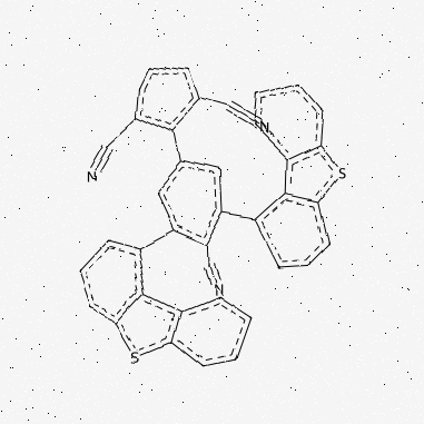 N#Cc1cccc(C#N)c1-c1cc(-c2cccc3sc4ccccc4c23)c(C#N)c(-c2cccc3sc4ccccc4c23)c1